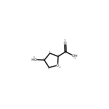 O=C(O)C1CC(O)CO1